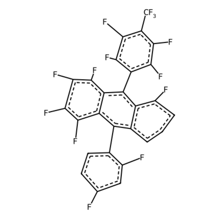 Fc1ccc(-c2c3cccc(F)c3c(-c3c(F)c(F)c(C(F)(F)F)c(F)c3F)c3c(F)c(F)c(F)c(F)c23)c(F)c1